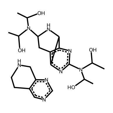 CC(O)N(c1nc2c3c(n1)C2NC(N(C(C)O)C(C)O)C3)C(C)O.c1ncc2c(n1)CNCC2